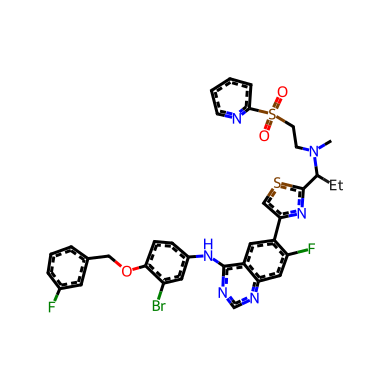 CCC(c1nc(-c2cc3c(Nc4ccc(OCc5cccc(F)c5)c(Br)c4)ncnc3cc2F)cs1)N(C)CCS(=O)(=O)c1ccccn1